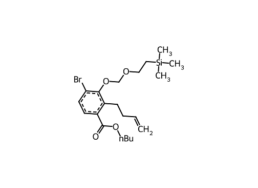 C=CCCc1c(C(=O)OCCCC)ccc(Br)c1OCOCC[Si](C)(C)C